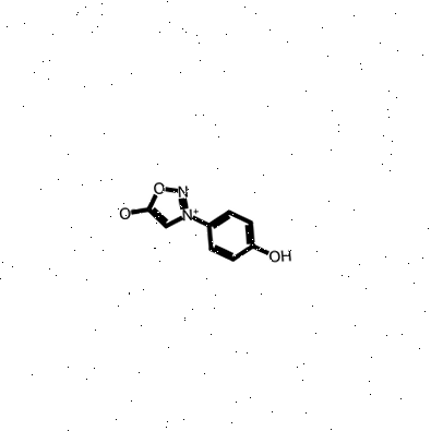 [O-]c1c[n+](-c2ccc(O)cc2)no1